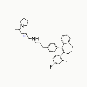 C=C(/C=C/CNCCCc1ccc(C2=C(c3ccc(F)cc3C)CCCc3ccccc32)cc1)N1CCCC1